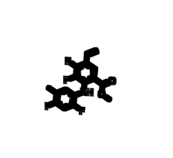 C=Cc1cc(C(=O)OC)c(Nc2cc(C)c(I)cc2F)c(F)c1F